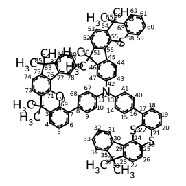 CC1(C)c2cccc(-c3ccc(N(c4ccc(-c5cccc6c5Sc5c(ccc7c5-c5ccccc5C7(C)C)S6)cc4)c4ccc5c(c4)C(C)(C)c4ccc6c(c4-5)Sc4ccccc4C6(C)C)cc3)c2Oc2c1ccc1c2-c2ccccc2C1(C)C